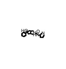 O=C(Nc1cccnc1)N1CC2CC(O)(c3ccccc3)CC2C1